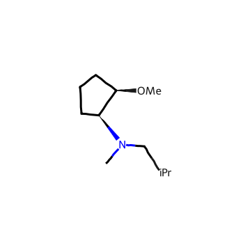 CO[C@@H]1CCC[C@@H]1N(C)CC(C)C